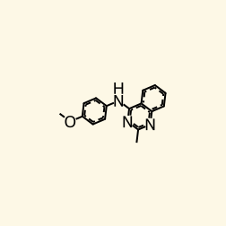 COc1ccc(Nc2nc(C)nc3ccccc23)cc1